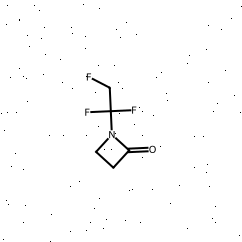 O=C1CCN1C(F)(F)CF